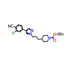 CC(C)(C)OC(=O)N1CCC(CCCn2cc(-c3ccc(C#N)c(F)c3)cn2)CC1